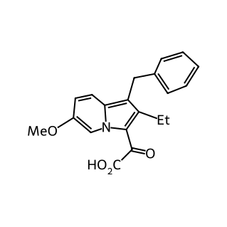 CCc1c(Cc2ccccc2)c2ccc(OC)cn2c1C(=O)C(=O)O